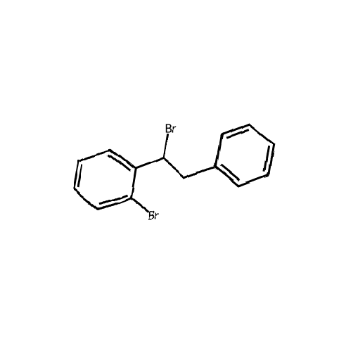 Brc1ccccc1C(Br)Cc1ccccc1